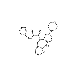 O=C(C1COc2ccccc2O1)N1Cc2cccnc2Nc2ccc(N3CCOCC3)cc21